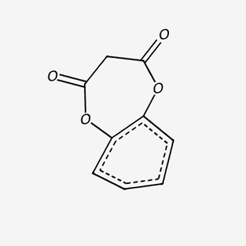 O=C1CC(=O)Oc2ccccc2O1